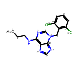 COCCNc1ncn(Cc2c(Cl)cccc2Cl)c2ncnc1-2